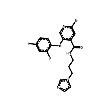 O=C(NCCCn1ccnc1)c1cc(Br)ncc1Nc1ccc(I)cc1F